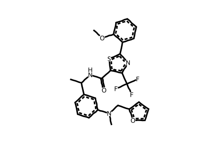 COc1ccccc1-c1nc(C(F)(F)F)c(C(=O)NC(C)c2cccc(N(C)Cc3ccco3)c2)s1